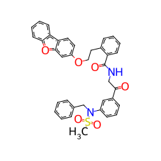 CS(=O)(=O)N(Cc1ccccc1)c1cccc(C(=O)CNC(=O)c2ccccc2CCOc2ccc3c(c2)oc2ccccc23)c1